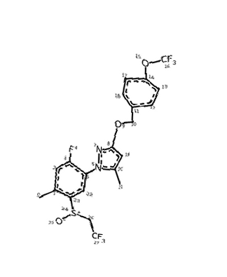 Cc1cc(F)c(-n2nc(OCc3ccc(OC(F)(F)F)cc3)cc2C)cc1[S+]([O-])CC(F)(F)F